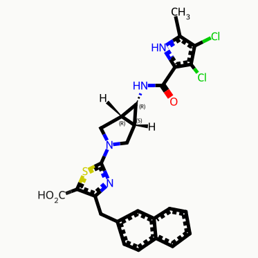 Cc1[nH]c(C(=O)N[C@@H]2[C@@H]3CN(c4nc(Cc5ccc6ccccc6c5)c(C(=O)O)s4)C[C@@H]32)c(Cl)c1Cl